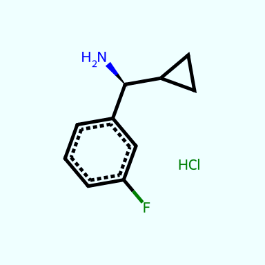 Cl.N[C@H](c1cccc(F)c1)C1CC1